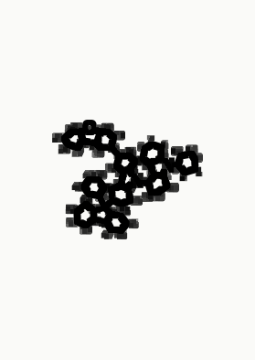 c1ccc(-n2c3ccccc3c3c(-n4c5ccc(-c6ccc7oc8ccccc8c7c6)cc5c5cc(C6(c7ccccc7)c7ccccc7-c7ccccc76)ccc54)cccc32)cc1